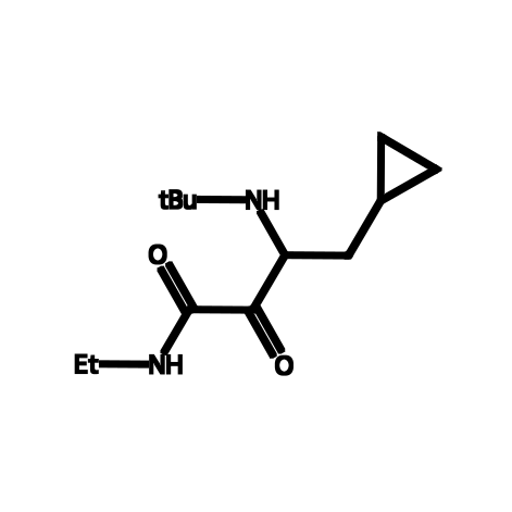 CCNC(=O)C(=O)C(CC1CC1)NC(C)(C)C